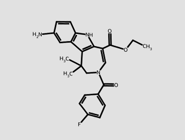 CCOC(=O)C1=CN(C(=O)c2ccc(F)cc2)CC(C)(C)c2c1[nH]c1ccc(N)cc21